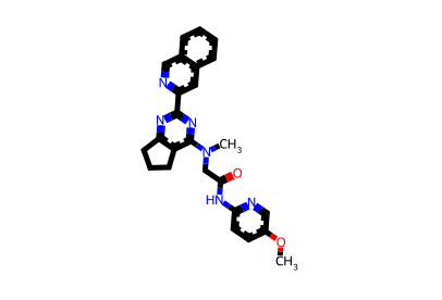 COc1ccc(NC(=O)CN(C)c2nc(-c3cc4ccccc4cn3)nc3c2CCC3)nc1